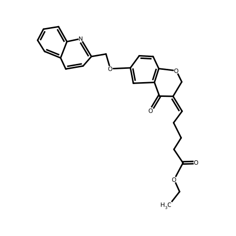 CCOC(=O)CCCC=C1COc2ccc(OCc3ccc4ccccc4n3)cc2C1=O